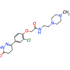 CN1CCN(CCNC(=O)COc2ccc(C3=NNC(=O)CC3)cc2Cl)CC1